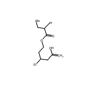 C=C(O)CC(CC)CCOC(=O)C(CC(C)(C)C)C(C)C